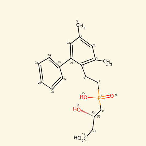 Cc1cc(C)c(CCP(=O)(O)C[C@@H](O)CC(=O)O)c(-c2ccccc2)c1